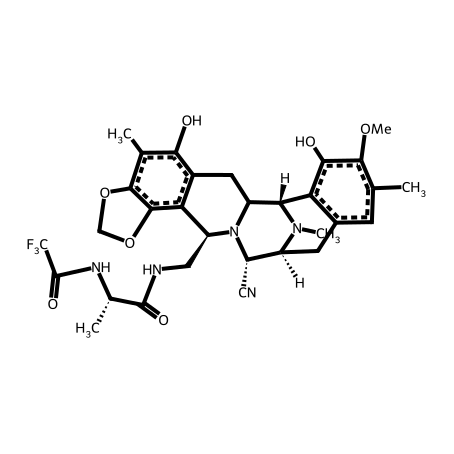 COc1c(C)cc2c(c1O)[C@H]1C3Cc4c(O)c(C)c5c(c4[C@H](CNC(=O)[C@H](C)NC(=O)C(F)(F)F)N3[C@@H](C#N)[C@H](C2)N1C)OCO5